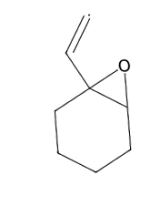 [CH]=CC12CCCCC1O2